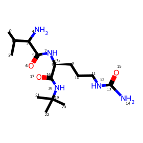 CC(C)C(N)C(=O)N[C@@H](CCCNC(N)=O)C(=O)NC(C)(C)C